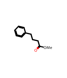 COC(=O)CCCC1=C=C=CC=C1